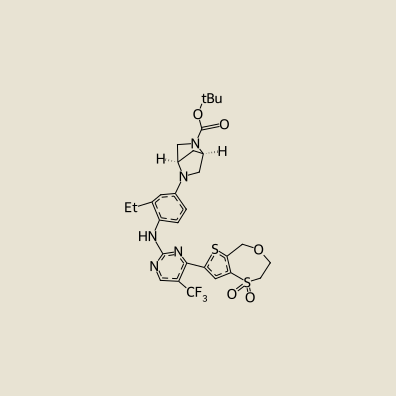 CCc1cc(N2C[C@H]3C[C@@H]2CN3C(=O)OC(C)(C)C)ccc1Nc1ncc(C(F)(F)F)c(-c2cc3c(s2)COCCS3(=O)=O)n1